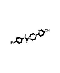 CC(C)c1ccc(NC(=O)N2CCN(c3ccc(O)cn3)CC2)cc1